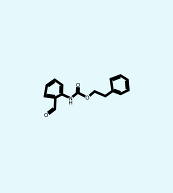 O=Cc1ccccc1NC(=O)OCCc1ccccc1